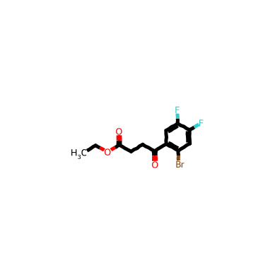 CCOC(=O)CCC(=O)c1cc(F)c(F)cc1Br